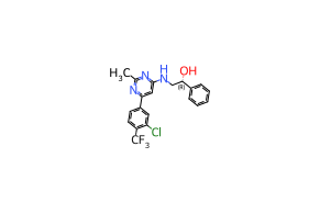 Cc1nc(NC[C@H](O)c2ccccc2)cc(-c2ccc(C(F)(F)F)c(Cl)c2)n1